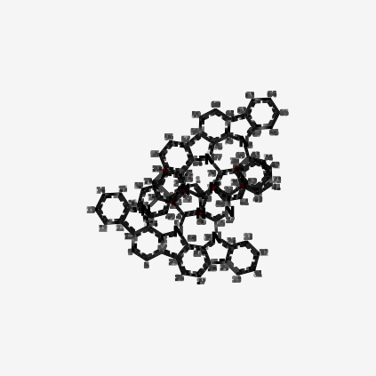 C1=CCCC(n2c3c(ccc4c5ccccc5n(-c5ccccc5)c43)c3ccc4c5ccccc5n(-c5nc(-c6ccccc6)nc(-n6c7ccccc7c7ccc8c9ccc%10c%11ccccc%11n(-c%11ccccc%11)c%10c9n(-c9ccccc9)c8c76)n5)c4c32)=C1